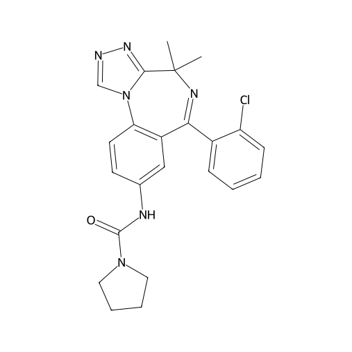 CC1(C)N=C(c2ccccc2Cl)c2cc(NC(=O)N3CCCC3)ccc2-n2cnnc21